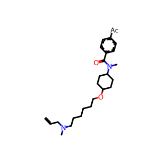 C=CCN(C)CCCCCCOC1CCC(N(C)C(=O)c2ccc(C(C)=O)cc2)CC1